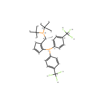 C[C@H](C1=C(P(c2ccc(C(F)(F)F)cc2)c2ccc(C(F)(F)F)cc2)C=CC1)P(C(C)(C)C)C(C)(C)C